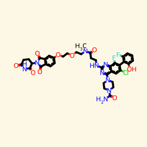 CN(CCOCCOc1ccc2c(c1)C(=O)N(C1CCC(=O)NC1=O)C2=O)C(=O)CCNc1nc(N2CCN(C(N)=O)CC2)c2cc(Cl)c(-c3c(O)cccc3F)c(F)c2n1